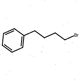 BrCC[CH]Cc1ccccc1